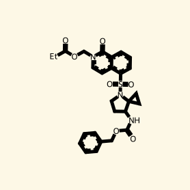 CCC(=O)OCn1ccc2c(S(=O)(=O)N3CCC(NC(=O)OCc4ccccc4)C34CC4)cccc2c1=O